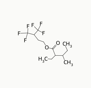 CCC(C)C(CC)C(=O)OCCC(C(F)(F)F)C(F)(F)F